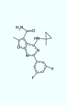 Cc1oc2nc(-c3cc(F)cc(F)c3)nc(NC3(C)CC3)c2c1C(N)=O